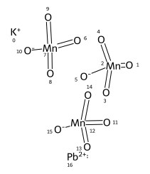 [K+].[O]=[Mn](=[O])(=[O])[O-].[O]=[Mn](=[O])(=[O])[O-].[O]=[Mn](=[O])(=[O])[O-].[Pb+2]